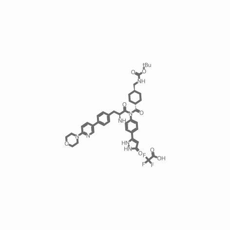 CC(C)(C)OC(=O)NC[C@H]1CC[C@H](C(=O)N(C(=O)[C@@H](N)Cc2ccc(-c3ccc(N4CCOCC4)nc3)cc2)c2ccc(-c3cc(=O)[nH][nH]3)cc2)CC1.O=C(O)C(F)(F)F